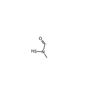 CN(S)[C]=O